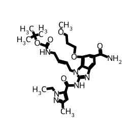 CCn1nc(C)cc1C(=O)Nc1nc2cc(C(N)=O)cc(OCCCOC)c2n1CC=CCNC(=O)OC(C)(C)C